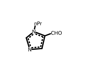 CCCn1cncc1C=O